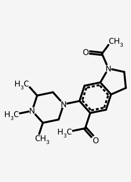 CC(=O)c1cc2c(cc1N1CC(C)N(C)C(C)C1)N(C(C)=O)CC2